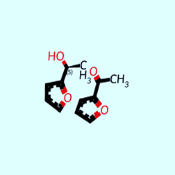 CC(=O)c1ccco1.C[C@H](O)c1ccco1